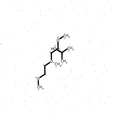 C.CC(C)O.COCCOCCOC